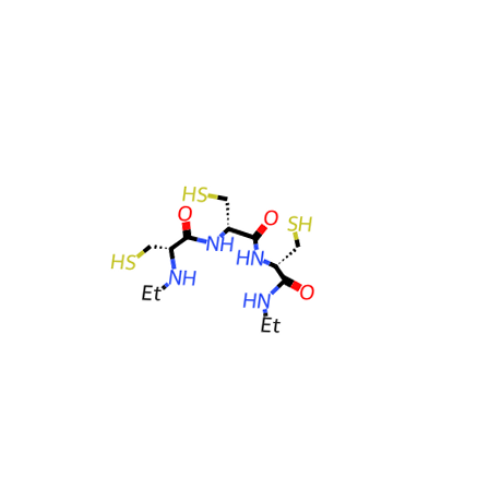 CCNC(=O)[C@@H](CS)NC(=O)[C@@H](CS)NC(=O)[C@@H](CS)NCC